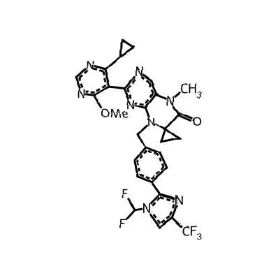 COc1ncnc(C2CC2)c1-c1ncc2c(n1)N(Cc1ccc(-c3nc(C(F)(F)F)cn3C(F)F)cc1)C1(CC1)C(=O)N2C